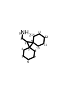 NCC1C2(CCCCC2)C12CCCCC2